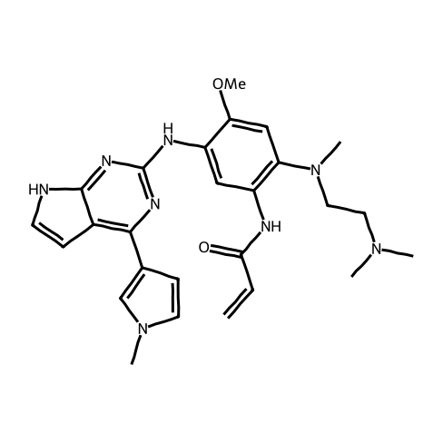 C=CC(=O)Nc1cc(Nc2nc(-c3ccn(C)c3)c3cc[nH]c3n2)c(OC)cc1N(C)CCN(C)C